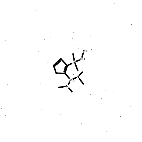 C[N](C)[Mo]([C]1=C([Si](C)(C)NC(C)(C)C)C=CC1)[N](C)C